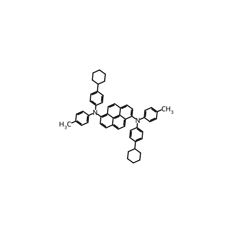 Cc1ccc(N(c2ccc(C3CCCCC3)cc2)c2ccc3ccc4c(N(c5ccc(C)cc5)c5ccc(C6CCCCC6)cc5)ccc5ccc2c3c54)cc1